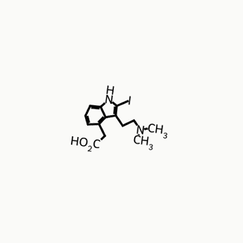 CN(C)CCc1c(I)[nH]c2cccc(CC(=O)O)c12